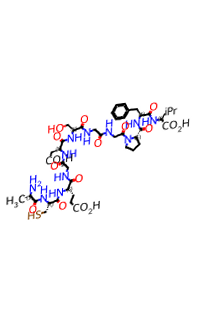 CC(C)[C@H](NC(=O)[C@H](Cc1ccccc1)NC(=O)[C@@H]1CCCN1C(=O)CNC(=O)CNC(=O)[C@H](CO)NC(=O)[C@H](CC(=O)O)NC(=O)CNC(=O)[C@H](CCC(=O)O)NC(=O)[C@H](CS)NC(=O)[C@H](C)N)C(=O)O